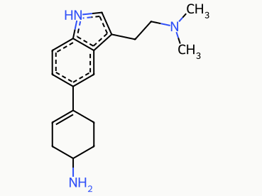 CN(C)CCc1c[nH]c2ccc(C3=CCC(N)CC3)cc12